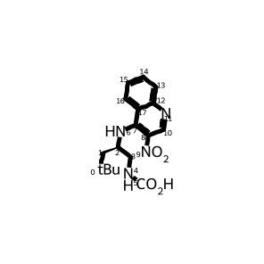 CC(C)(C)C[C@H](CNC(=O)O)Nc1c([N+](=O)[O-])cnc2ccccc12